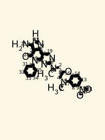 CN(C[C@H]1CN(C)c2cc([N+](=O)[O-])ccc2O1)c1ncc2c3n[nH]c(N)c3c(=O)n(-c3ccccc3)c2n1